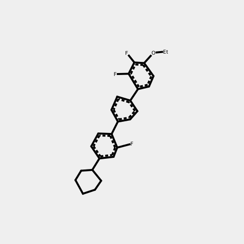 CCOc1ccc(-c2ccc(-c3ccc(C4CCCCC4)cc3F)cc2)c(F)c1F